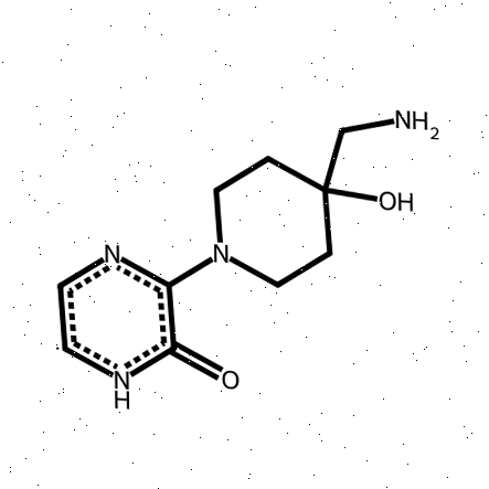 NCC1(O)CCN(c2nc[c][nH]c2=O)CC1